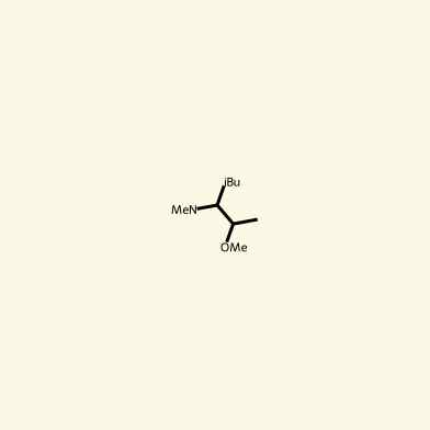 CCC(C)C(NC)C(C)OC